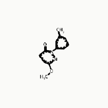 COc1ccc(=O)n(-c2cccc(C)c2)n1